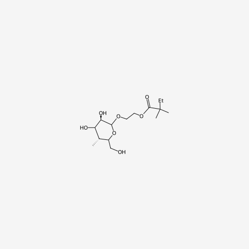 CCC(C)(C)C(=O)OCCOC1OC(CO)[C@H](C)C(O)[C@H]1O